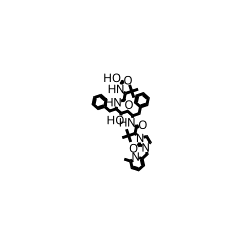 Cc1cccc(CN2CCN(C(C(=O)NC(Cc3ccccc3)CC(O)C(Cc3ccccc3)NC(=O)C(NC(=O)O)C(C)(C)C)C(C)(C)C)C2=O)n1